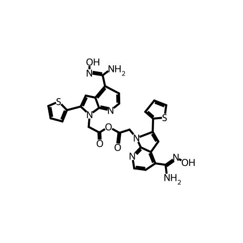 NC(=NO)c1ccnc2c1cc(-c1cccs1)n2CC(=O)OC(=O)Cn1c(-c2cccs2)cc2c(C(N)=NO)ccnc21